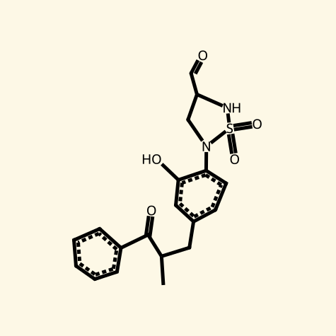 CC(Cc1ccc(N2CC(C=O)NS2(=O)=O)c(O)c1)C(=O)c1ccccc1